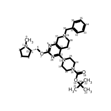 CN1CCC[C@H]1COc1nc2c(c(N3CCN(C(=O)OC(C)(C)C)CC3)n1)CCN(Cc1ccccc1)C2